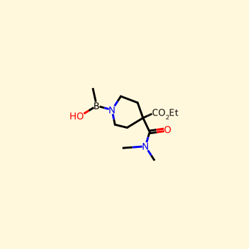 CCOC(=O)C1(C(=O)N(C)C)CCN(B(C)O)CC1